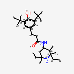 CCC1(C)CC(NC(=O)CCc2cc(C(C)(C)C)c(O)c(C(C)(C)C)c2)C(C)C(C)(CC)N1